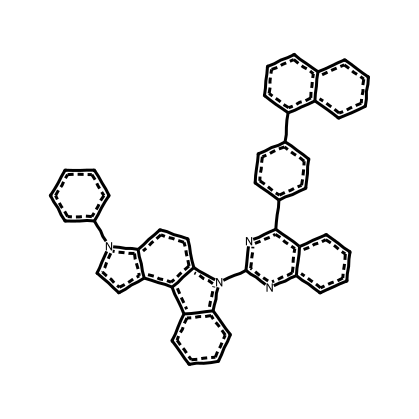 c1ccc(-n2ccc3c4c5ccccc5n(-c5nc(-c6ccc(-c7cccc8ccccc78)cc6)c6ccccc6n5)c4ccc32)cc1